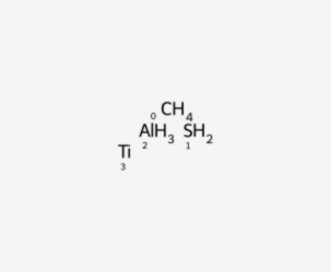 C.S.[AlH3].[Ti]